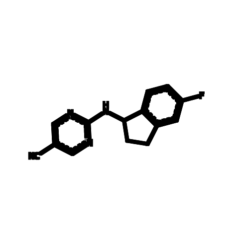 N#Cc1cnc(NC2CCc3cc(F)ccc32)nc1